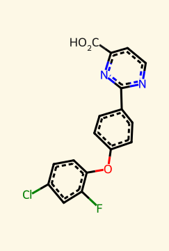 O=C(O)c1ccnc(-c2ccc(Oc3ccc(Cl)cc3F)cc2)n1